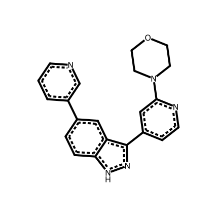 c1cncc(-c2ccc3[nH]nc(-c4ccnc(N5CCOCC5)c4)c3c2)c1